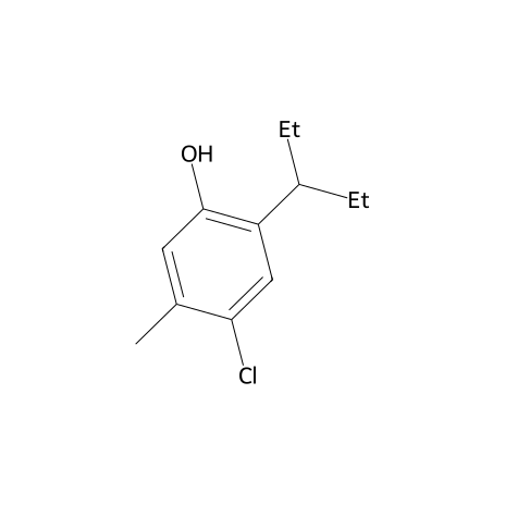 CCC(CC)c1cc(Cl)c(C)cc1O